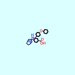 O=C(O)c1ccc(CN2C3CCC2CC(NCc2ccc(Oc4ccccc4)cc2)C3)cc1